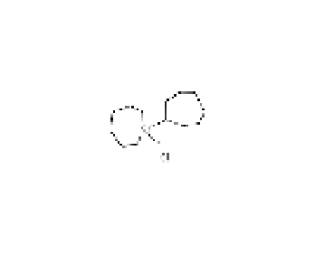 C[N+]1(C2CCCCCC2)CCCCCC1.[Cl-]